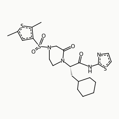 Cc1cc(S(=O)(=O)N2CCN([C@@H](CC3CCCCC3)C(=O)Nc3nccs3)C(=O)C2)c(C)s1